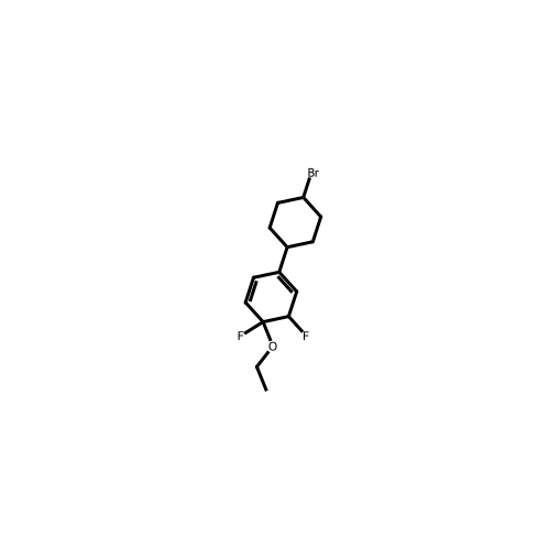 CCOC1(F)C=CC(C2CCC(Br)CC2)=CC1F